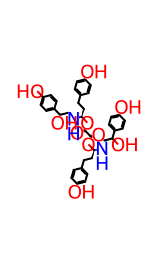 O=C(O[C@H](CCc1ccc(O)cc1)NCC(O)c1ccc(O)cc1)C(=O)O[C@H](CCc1ccc(O)cc1)NCC(O)c1ccc(O)cc1